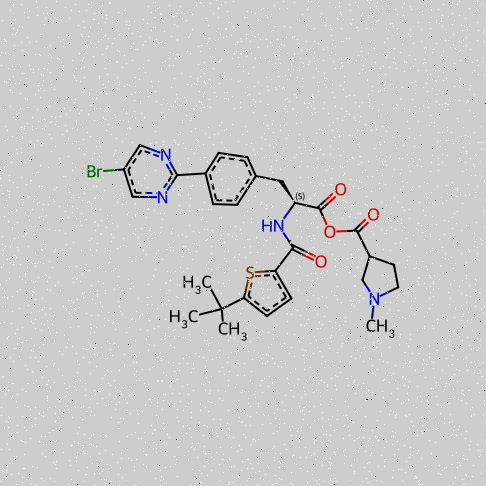 CN1CCC(C(=O)OC(=O)[C@H](Cc2ccc(-c3ncc(Br)cn3)cc2)NC(=O)c2ccc(C(C)(C)C)s2)C1